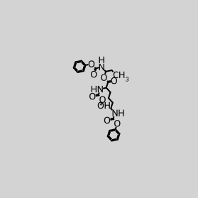 CCC(NC(=O)Oc1ccccc1)OC(=O)C(CCCCNC(=O)Oc1ccccc1)NC(=O)OO